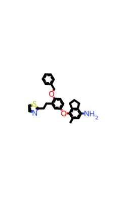 Cc1cc(N)c2c(c1Oc1ccc(OCc3ccccc3)c(CCc3nccs3)c1)CCC2